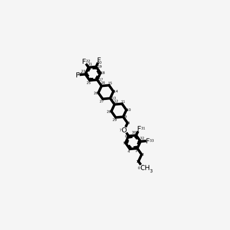 CCCc1ccc(OCC2CCC(C3CCC(c4cc(F)c(F)c(F)c4)CC3)CC2)c(F)c1F